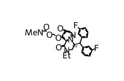 CCN1C[C@H](C(c2cccc(F)c2)c2cccc(F)c2)n2ncc(=O)c(OCOC(=O)NC)c2C1=O